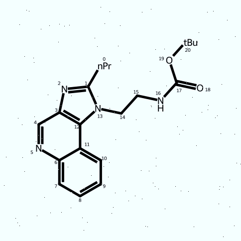 CCCc1nc2cnc3ccccc3c2n1CCNC(=O)OC(C)(C)C